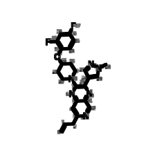 C=CCc1cc2nc(N3CCC(Oc4ccc(F)cc4F)CC3)c(-c3cnn(C)c3)nc2cn1